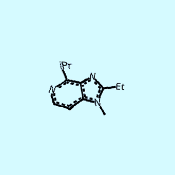 CCc1nc2c(C(C)C)nccc2n1C